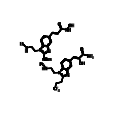 CC(C)NCCn1c(CCC(F)(F)F)nc2cc(C=C(O)C(N)=O)ccc21.CCCCCCc1nc2cc(C=CC(=O)NO)ccc2n1CCNCC